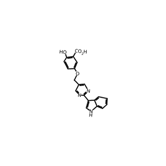 O=C(O)c1cc(OCc2cnc(-c3c[nH]c4ccccc34)nc2)ccc1O